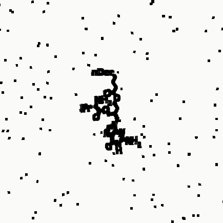 CCCCCCCCCCCCCC(=O)OCCC(COC(=O)[C@@H](N)C(C)C)Cn1cnc2c(=O)[nH]c(N)nc21